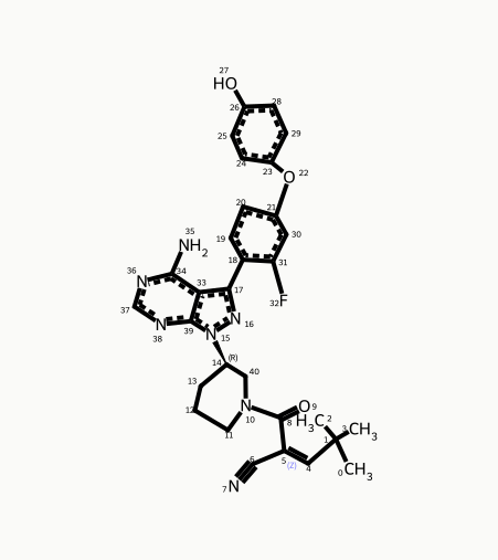 CC(C)(C)/C=C(/C#N)C(=O)N1CCC[C@@H](n2nc(-c3ccc(Oc4ccc(O)cc4)cc3F)c3c(N)ncnc32)C1